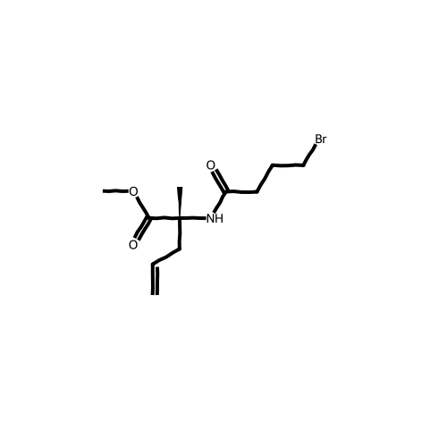 C=CC[C@@](C)(NC(=O)CCCBr)C(=O)OC